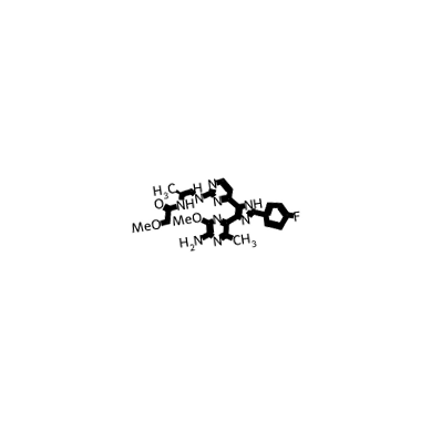 COCC(=O)N[C@@H](C)CNc1nccc(-c2[nH]c(-c3ccc(F)cc3)nc2-c2nc(OC)c(N)nc2C)n1